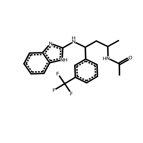 CC(=O)NC(C)CC(Nc1nc2ccccc2[nH]1)c1cccc(C(F)(F)F)c1